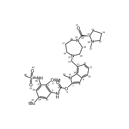 COc1c(NC(=O)Oc2cc3cccc(CN4CCCN(C(=O)[C@H]5CCCN5C)CC4)c3n2C)cc(C(C)(C)C)cc1NS(C)(=O)=O